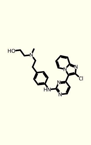 CN(CCO)CCc1ccc(Nc2nccc(-c3c(Cl)nc4ccccn34)n2)cc1